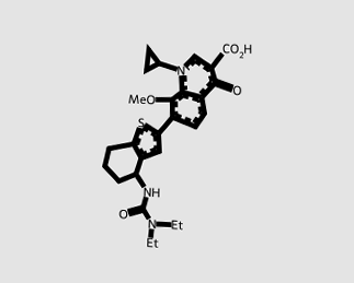 CCN(CC)C(=O)NC1CCCc2sc(-c3ccc4c(=O)c(C(=O)O)cn(C5CC5)c4c3OC)cc21